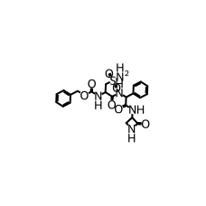 NS(=O)(=O)CC(NC(=O)OCc1ccccc1)C(=O)NC(C(=O)NC1CNC1=O)c1ccccc1